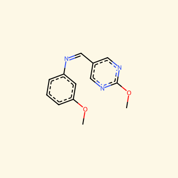 COc1cccc(/N=C\c2cnc(OC)nc2)c1